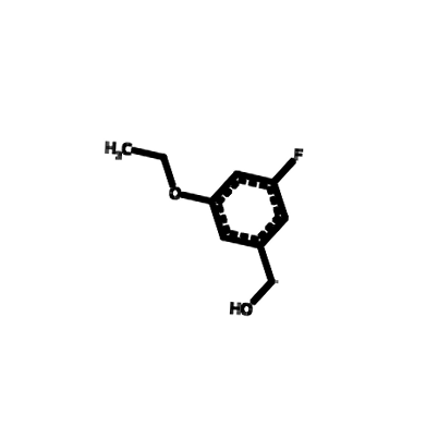 CCOc1cc(F)cc([CH]O)c1